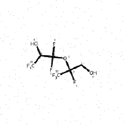 OCC(F)(OC(F)(F)C(O)C(F)(F)F)C(F)(F)F